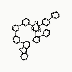 c1ccc(-c2ccc(-c3nc(-c4cccc(-c5cccc(-c6cccc(-c7cccc8c7sc7ccccc78)c6)c5)c4)nc(-c4ccccc4-c4ccccc4)n3)cc2)cc1